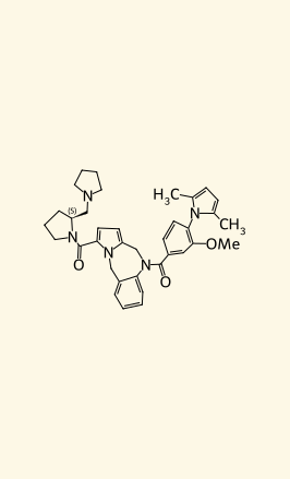 COc1cc(C(=O)N2Cc3ccc(C(=O)N4CCC[C@H]4CN4CCCC4)n3Cc3ccccc32)ccc1-n1c(C)ccc1C